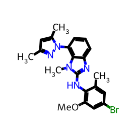 COc1cc(Br)cc(C)c1Nc1nc2cccc(-n3nc(C)cc3C)c2n1C